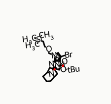 CC(C)(C)OC(=O)NC1CC2CCCC(C1)N2c1cnc2c(Br)cn(COCC[Si](C)(C)C)c2n1